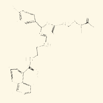 CC(=O)NCCNc1cc(NCCNC(=O)c2cccc3ccccc23)nc(-c2ccc(Cl)cc2)n1